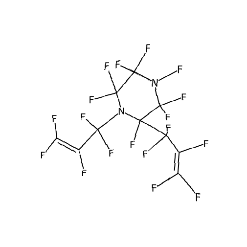 FC(F)=C(F)C(F)(F)N1C(F)(F)C(F)(F)N(F)C(F)(F)C1(F)C(F)(F)C(F)=C(F)F